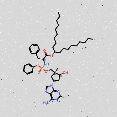 CCCCCCCCCC(CCCCCCCCC)OC(=O)[C@H](Cc1ccccc1)NP(=O)(OC[C@@]1(C)C[C@@H](n2cnc3c(N)nc(F)nc32)C[C@@H]1O)Oc1ccccc1